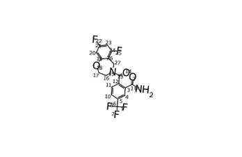 NC(=O)c1cc(C(F)(F)F)ccc1C(=O)N1CCOc2cc(F)cc(F)c2C1